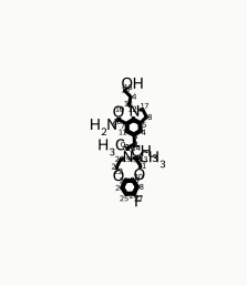 C[C@H](Cc1cc2c(c(C(N)=O)c1)N(CCCO)CC2)N1CCOc2ccc(F)cc2OCC1(C)C